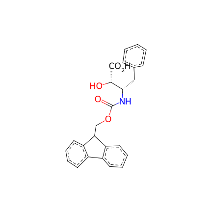 O=C(N[C@@H](Cc1ccccc1)[C@H](O)C(=O)O)OCC1c2ccccc2-c2ccccc21